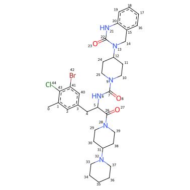 Cc1cc(CC(NC(=O)N2CCC(N3Cc4ccccc4NC3=O)CC2)C(=O)N2CCC(N3CCCCC3)CC2)cc(Br)c1Cl